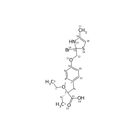 CCO[C@@](CC)(Cc1ccc(OCC2(Br)NC(C)=CS2)cc1)C(=O)O